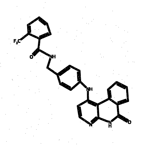 O=C(NCc1ccc(Nc2ccnc3[nH]c(=O)c4ccccc4c23)cc1)c1ccccc1C(F)(F)F